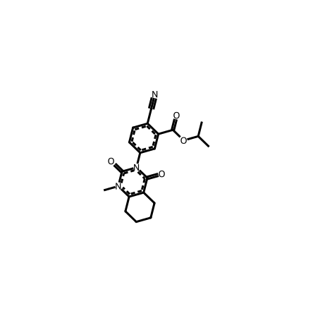 CC(C)OC(=O)c1cc(-n2c(=O)c3c(n(C)c2=O)CCCC3)ccc1C#N